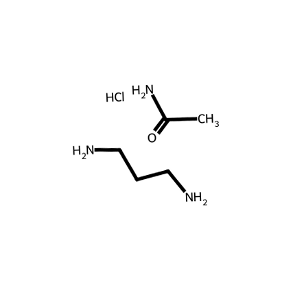 CC(N)=O.Cl.NCCCN